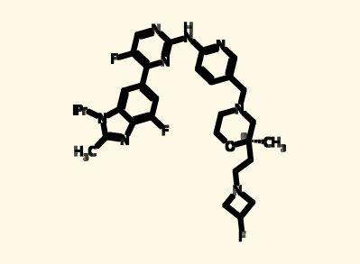 Cc1nc2c(F)cc(-c3nc(Nc4ccc(CN5CCO[C@](C)(CCN6CC(F)C6)C5)cn4)ncc3F)cc2n1C(C)C